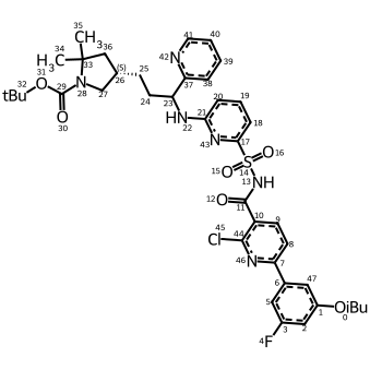 CC(C)COc1cc(F)cc(-c2ccc(C(=O)NS(=O)(=O)c3cccc(NC(CC[C@@H]4CN(C(=O)OC(C)(C)C)C(C)(C)C4)c4ccccn4)n3)c(Cl)n2)c1